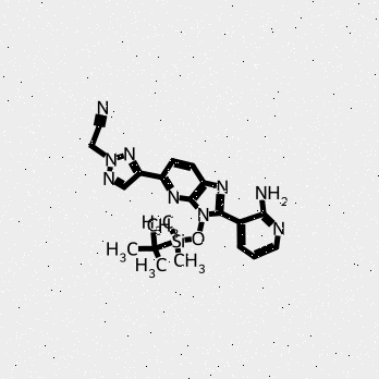 CC(C)(C)[Si](C)(C)On1c(-c2cccnc2N)nc2ccc(-c3cnn(CC#N)n3)nc21